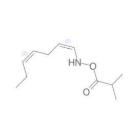 CC/C=C\C/C=C\NOC(=O)C(C)C